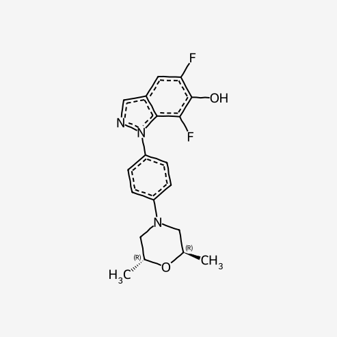 C[C@@H]1CN(c2ccc(-n3ncc4cc(F)c(O)c(F)c43)cc2)C[C@@H](C)O1